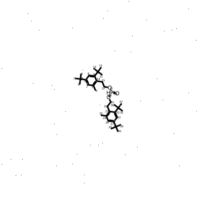 Cc1cc(C(C)(C)C)cc(C(C)(C)C)c1CCO[PH](=O)OCCc1c(C)cc(C(C)(C)C)cc1C(C)(C)C